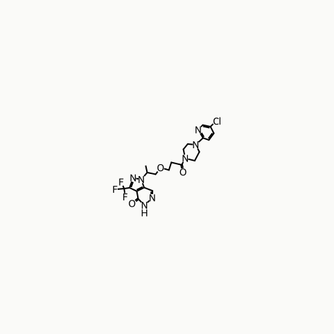 CC(COCCC(=O)N1CCN(c2ccc(Cl)cn2)CC1)n1nc(C(F)(F)F)c2c(=O)[nH]ncc21